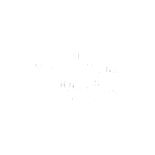 NC(=O)N1C(=O)CCC1(Cc1ccc(Cl)cc1Cl)C(N)=O